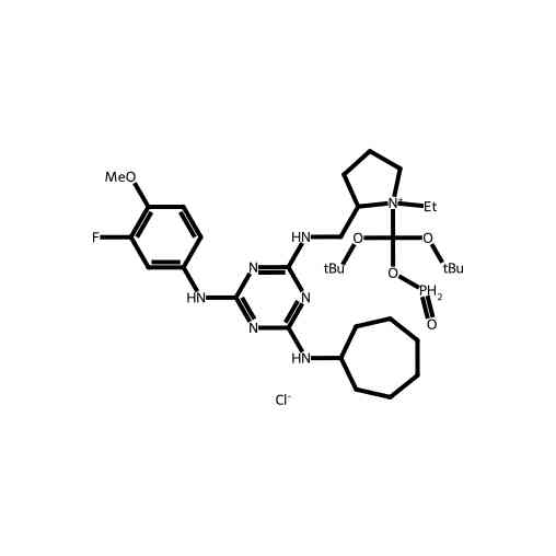 CC[N+]1(C(O[PH2]=O)(OC(C)(C)C)OC(C)(C)C)CCCC1CNc1nc(Nc2ccc(OC)c(F)c2)nc(NC2CCCCCC2)n1.[Cl-]